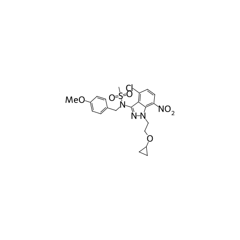 COc1ccc(CN(c2nn(CCOC3CC3)c3c([N+](=O)[O-])ccc(Cl)c23)S(C)(=O)=O)cc1